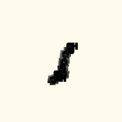 O=C(O)CC1CCC(c2ccc(N3CCc4c(cccc4C(=O)Nc4ccccc4)C3)cc2)CC1